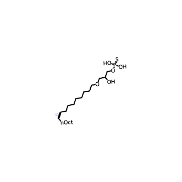 CCCCCCCC/C=C\CCCCCCCCOCC(O)COP(O)(O)=S